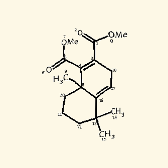 COC(=O)C1=C(C(=O)OC)C2(C)CCCC(C)(C)C2=CC1